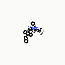 CC1(C)N=C(c2ccccc2)N(c2cncc(-c3c4ccccc4c(-c4ccc5ccccc5c4)c4ccccc34)c2)C1(C)C